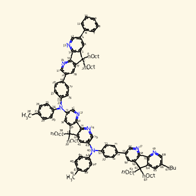 CCCCCCCCC1(CCCCCCCC)c2cc(-c3ccccc3)cnc2-c2ncc(-c3ccc(N(c4ccc(C)cc4)c4cnc5c(c4)C(CCCCCCCC)(CCCCCCCC)c4cc(N(c6ccc(C)cc6)c6ccc(-c7cnc8c(c7)C(CCCCCCCC)(CCCCCCCC)c7cc(C(C)CC)cnc7-8)cc6)cnc4-5)cc3)cc21